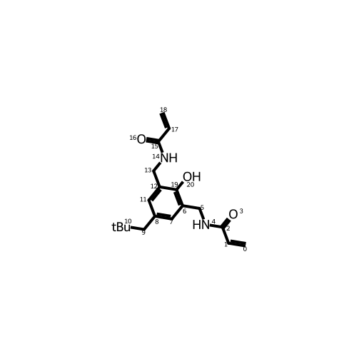 C=CC(=O)NCc1cc(CC(C)(C)C)cc(CNC(=O)C=C)c1O